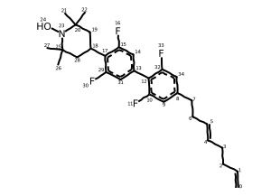 C=CCC/C=C/CCc1cc(F)c(-c2cc(F)c(C3CC(C)(C)N(O)C(C)(C)C3)c(F)c2)c(F)c1